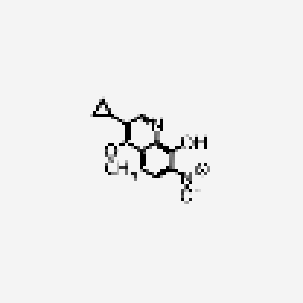 COc1c(C2CC2)cnc2c(O)c([N+](=O)[O-])ccc12